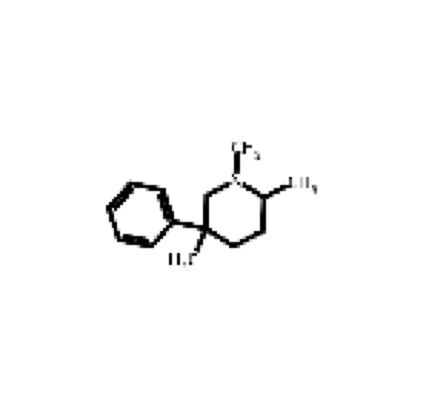 CC1CCC(C)(c2ccccc2)CN1C